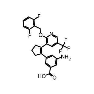 Nc1cc(C(=O)O)cc(C2=C(c3cc(C(F)(F)F)cnc3OCc3c(F)cccc3F)CCC2)c1